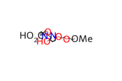 COCCOCCOc1ccc(O)c(C2=N[C@@](C)(C(=O)O)CO2)n1